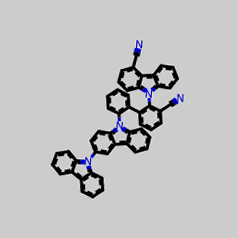 N#Cc1cccc(-c2ccccc2-n2c3ccccc3c3cc(-n4c5ccccc5c5ccccc54)ccc32)c1-n1c2ccccc2c2c(C#N)cccc21